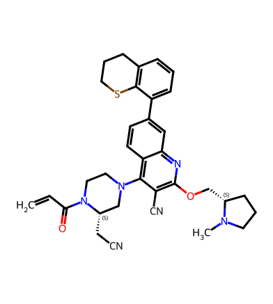 C=CC(=O)N1CCN(c2c(C#N)c(OC[C@@H]3CCCN3C)nc3cc(-c4cccc5c4SCCC5)ccc23)C[C@@H]1CC#N